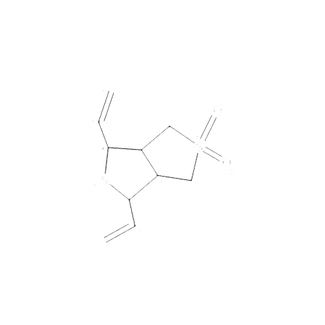 C=CC1SC(C=C)C2CS(=O)(=O)CC12